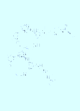 C=CC(=O)N1CCN(CCNc2cc3cc(c2)Nc2nc(cc(C4/C=C/CNCc5cc(NCCCN6CCN(C(=O)C#CC)CC6)cc(c5)Nc5nccc(n5)-c5cccc(c5)OC4)n2)-c2cccc(c2)OCC/C=C/CN(C)C3)CC1